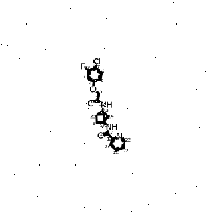 O=C(COc1ccc(Cl)c(F)c1)NC1CC2(NC(=O)c3ccccn3)CC1C2